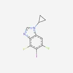 Fc1cc2c(ncn2C2CC2)c(F)c1I